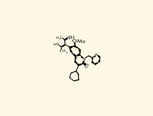 COc1cc2c(cc1/C(C(C)=N)=C(\C)O)cc(C1CCCCC1)c(=O)n2Cc1ccccn1